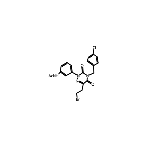 CC(=O)Nc1cccc(-n2nc(CCBr)c(=O)n(Cc3ccc(Cl)cc3)c2=O)c1